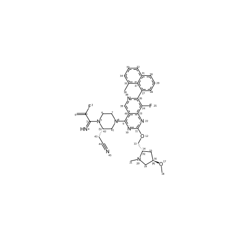 C=C(F)C(=N)N1CCN(c2nc(OC[C@@H]3C[C@@H](OC)CN3C)nc3c(F)c(-c4cccc5cccc(C)c45)ncc23)C[C@@H]1CC#N